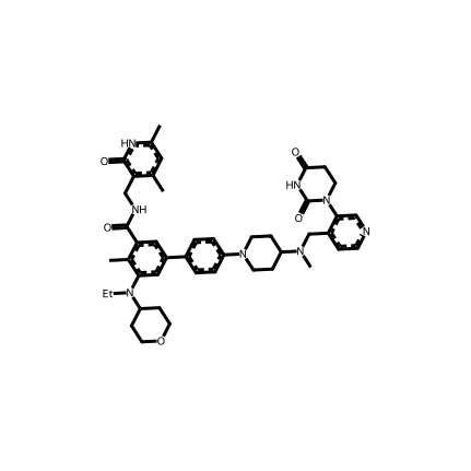 CCN(c1cc(-c2ccc(N3CCC(N(C)Cc4ccncc4N4CCC(=O)NC4=O)CC3)cc2)cc(C(=O)NCc2c(C)cc(C)[nH]c2=O)c1C)C1CCOCC1